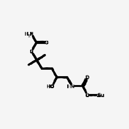 CC(C)(C)OC(=O)NCC(O)CCC(C)(C)OC(N)=O